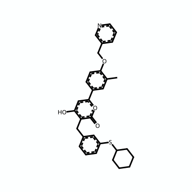 Cc1cc(-c2cc(O)c(Cc3cccc(SC4CCCCC4)c3)c(=O)o2)ccc1OCc1cccnc1